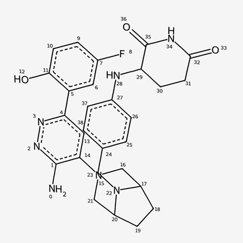 Nc1nnc(-c2cc(F)ccc2O)cc1N1CC2CCC(C1)N2Cc1ccc(NC2CCC(=O)NC2=O)cc1